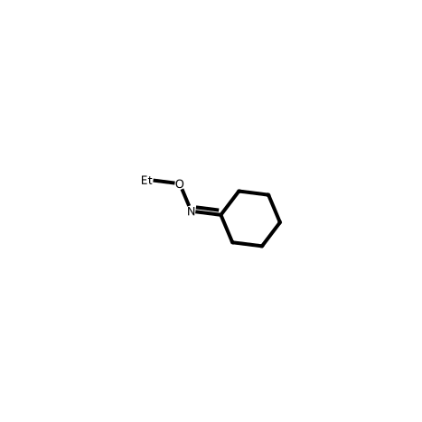 [CH2]CON=C1CCCCC1